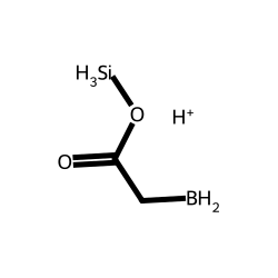 BCC(=O)O[SiH3].[H+]